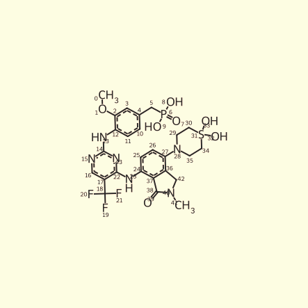 COc1cc(CP(=O)(O)O)ccc1Nc1ncc(C(F)(F)F)c(Nc2ccc(N3CCS(O)(O)CC3)c3c2C(=O)N(C)C3)n1